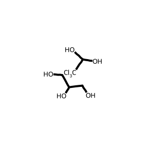 OC(O)C(Cl)(Cl)Cl.OCC(O)CO